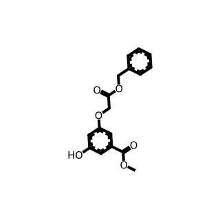 COC(=O)c1cc(O)cc(OCC(=O)OCc2ccccc2)c1